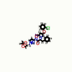 CC1(C)OC[C@@H](Cn2ccc(NC(=O)C(Cc3ccccc3)N3CC(Oc4ccccc4Cl)=CC3=O)n2)O1